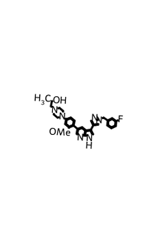 COc1cc(N2CCN(C[C@H](C)O)CC2)ccc1-c1cnc2[nH]cc(-c3cnn(Cc4cccc(F)c4)c3)c2c1